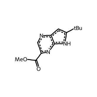 COC(=O)c1cnc2cc(C(C)(C)C)[nH]c2n1